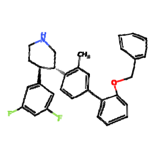 Cc1cc(-c2ccccc2OCc2ccccc2)ccc1[C@H]1CNCC[C@@H]1c1cc(F)cc(F)c1